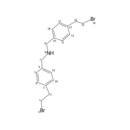 BrCCc1ccc(CNCc2ccc(CCBr)cc2)cc1